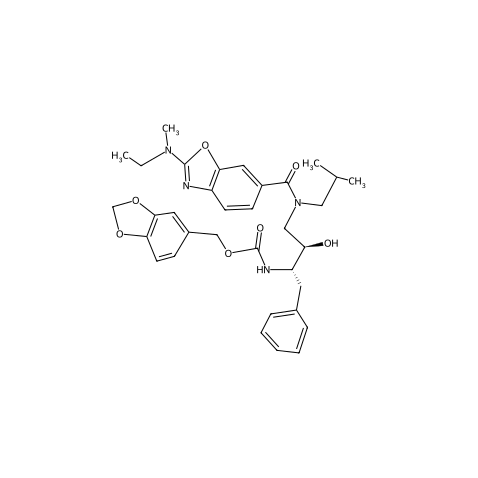 CCN(C)c1nc2ccc(C(=O)N(CC(C)C)C[C@@H](O)[C@H](Cc3ccccc3)NC(=O)OCc3ccc4c(c3)OCO4)cc2o1